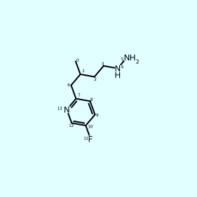 CC(CCNN)Cc1ccc(F)cn1